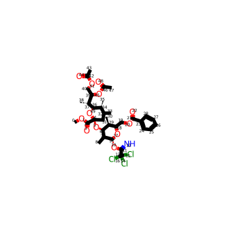 COC(=O)[C@@]1(O[C@@H]2C(C)[C@@H](OC(=N)C(Cl)(Cl)Cl)OC(COC(=O)c3ccccc3)[C@@H]2C)CC(C)[C@@H](C)[C@H]([C@H](C)C(COC(C)=O)OC(C)=O)O1